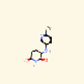 CC(C)c1ccc(NC2CCC(=O)NC2=O)cn1